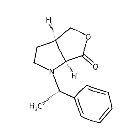 C[C@@H](c1ccccc1)N1CC[C@H]2COC(=O)[C@H]21